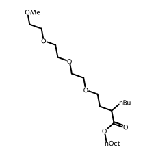 CCCCCCCCOC(=O)C(CCCC)CCOCCOCCOCCOC